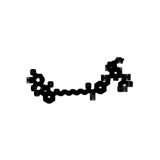 CC[C@H](CO)Nc1nc(NCc2ccc(NC(=O)CCCCCCCOc3cccc4c3C(=O)N(C3CCC(=O)NC3=O)C4=O)cc2)c2ncn(C(C)C)c2n1